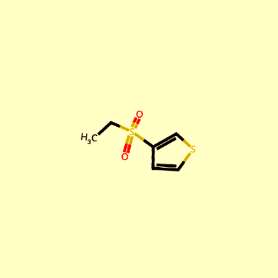 CCS(=O)(=O)c1ccsc1